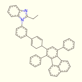 CCc1nc2ccccc2n1-c1cccc(C2=CCC(c3cc(-c4ccccc4)c4c(c3-c3ccccc3)-c3cccc5cccc-4c35)C=C2)c1